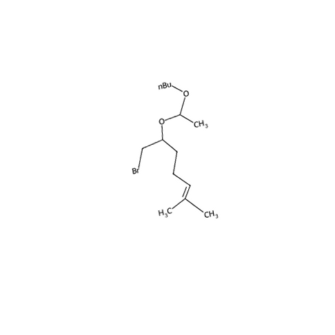 CCCCOC(C)OC(CBr)CCC=C(C)C